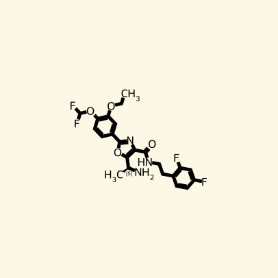 CCOc1cc(-c2nc(C(=O)NCCc3ccc(F)cc3F)c([C@H](C)N)o2)ccc1OC(F)F